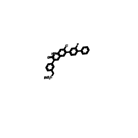 CCOC(=O)Cc1cccc(-c2cc3cc(-c4ccc(-c5ccccc5)c(F)c4)c(Cl)cc3[nH]c2=O)c1